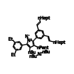 CCCCCCCC=Cc1cc(C=CCCCCCCC)cc(C2=C(CCCCC)C(CCCC)=C(c3cc(CC)cc(CC)c3)[N+]2=[N-])c1.CCC[CH2][Ni][CH2]CCC